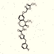 Cc1nnc(COc2ccc3c(c2)N(C)C(=O)[C@@H](NC(=O)n2cc(Cc4cccc(F)c4)cn2)CO3)o1